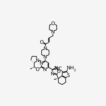 C[C@H](Oc1nc(-c2noc([C@@]3(C)CCCc4sc(N)c(C#N)c43)n2)cc(N2CCN(C(=O)/C=C/CN3CCOCC3)CC2)n1)[C@@H]1CCCN1C